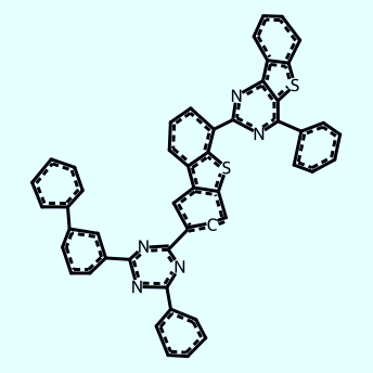 c1ccc(-c2cccc(-c3nc(-c4ccccc4)nc(-c4ccc5sc6c(-c7nc(-c8ccccc8)c8sc9ccccc9c8n7)cccc6c5c4)n3)c2)cc1